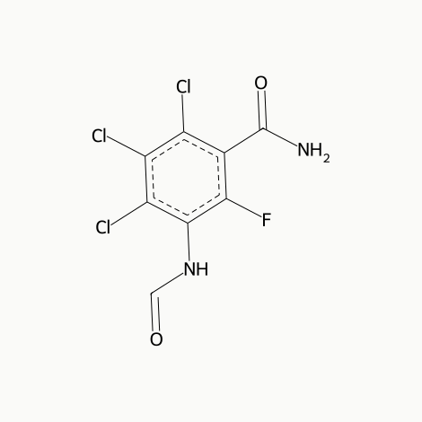 NC(=O)c1c(F)c(NC=O)c(Cl)c(Cl)c1Cl